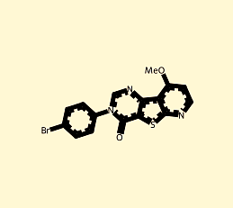 COc1ccnc2sc3c(=O)n(-c4ccc(Br)cc4)cnc3c12